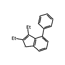 CCC1=C(CC)c2c(cccc2-c2ccccc2)[CH]1